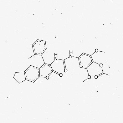 COc1cc(NC(=O)Nc2c(-c3ccccc3C)c3cc4c(cc3oc2=O)CCC4)cc(OC)c1OC(C)=O